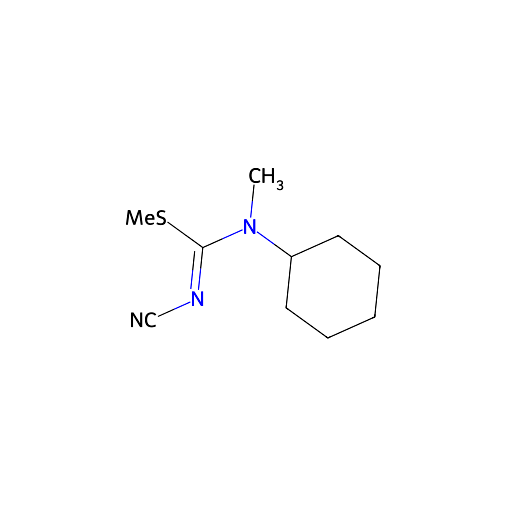 CSC(=NC#N)N(C)C1CCCCC1